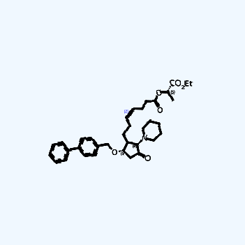 CCOC(=O)[C@H](C)OC(=O)CC/C=C\CCC1[C@@H](OCc2ccc(-c3ccccc3)cc2)CC(=O)[C@@H]1N1CCCCC1